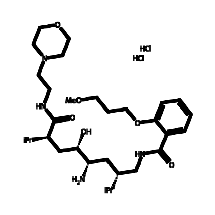 COCCCOc1ccccc1C(=O)NC[C@@H](C[C@H](N)[C@@H](O)C[C@H](C(=O)NCCN1CCOCC1)C(C)C)C(C)C.Cl.Cl